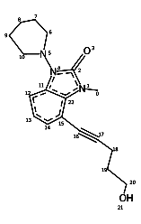 Cn1c(=O)n(N2CCCCC2)c2cccc(C#CCCCO)c21